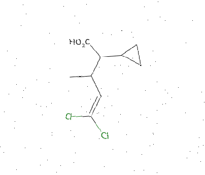 CC(C=C(Cl)Cl)C(C(=O)O)C1CC1